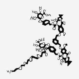 COc1cc2c(cc1OCc1cccc(COc3cc4c(cc3OC)C(=O)N3CC5(CC5)C[C@H]3[C@H](O)N4C(=O)OCc3ccc(O[C@@H]4O[C@H](C(=O)O)[C@@H](O)[C@H](O)[C@H]4O)c(NC(=O)CCOCCOCCOCCOCCN)c3)c1)N(C(=O)OCc1ccc(O[C@@H]3O[C@H](C(=O)O)[C@@H](O)[C@H](O)[C@H]3O)cc1)[C@@H](O)[C@@H]1CC3(CC3)CN1C2=O